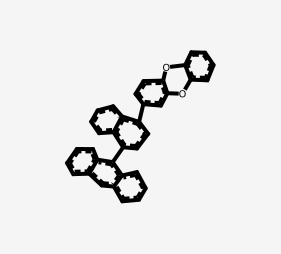 c1ccc2c(c1)Oc1ccc(-c3ccc(-c4c5ccccc5cc5ccccc45)c4ccccc34)cc1O2